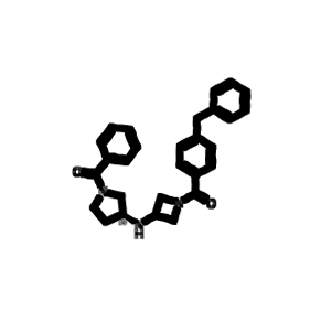 O=C(c1ccc(Cc2ccccc2)cc1)N1CC(N[C@H]2CCN(C(=O)c3ccccc3)C2)C1